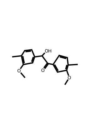 COc1cc(C(=O)C(O)c2ccc(C)c(OC)c2)ccc1C